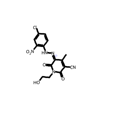 CC1=C(C#N)C(=O)N(CCO)C(=O)/C1=N\Nc1ccc(Cl)cc1[N+](=O)[O-]